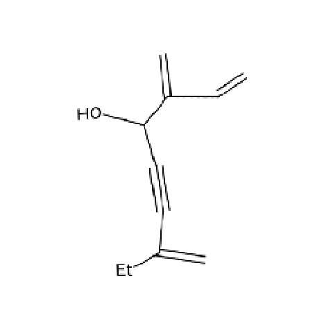 C=CC(=C)C(O)C#CC(=C)CC